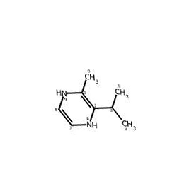 CC1=C(C(C)C)NC=CN1